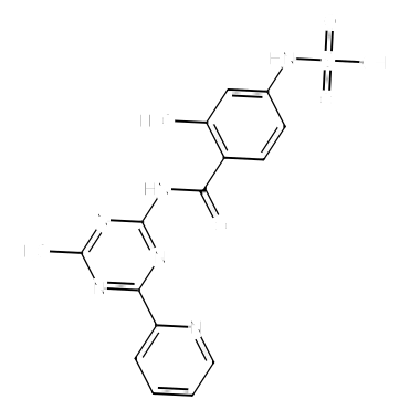 Cc1nc(NC(=O)c2ccc(NS(C)(=O)=O)cc2C)nc(-c2ccccn2)n1